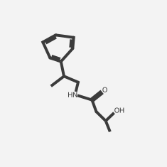 CC(O)CC(=O)NCC(C)c1ccccc1